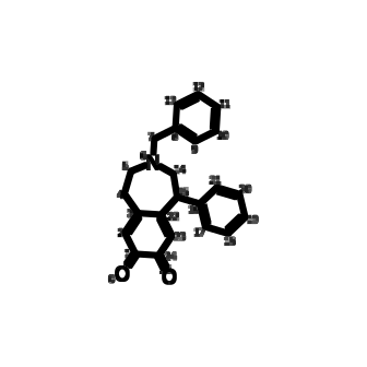 O=C1C=C2CCN(Cc3ccccc3)CC(c3ccccc3)C2=CC1=O